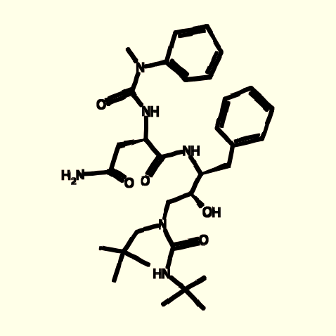 CN(C(=O)N[C@H](CC(N)=O)C(=O)N[C@@H](Cc1ccccc1)[C@@H](O)CN(CC(C)(C)C)C(=O)NC(C)(C)C)c1ccccc1